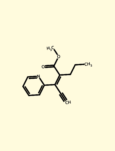 C#CC(=C(CCC)C(=O)OC)c1ccccn1